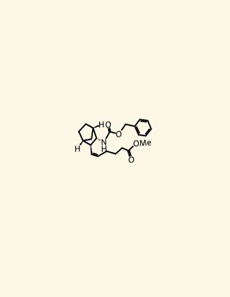 COC(=O)CCC/C=C\[C@H]1[C@@H]2CC[C@@H](C2)[C@@H]1NC(=O)OCc1ccccc1